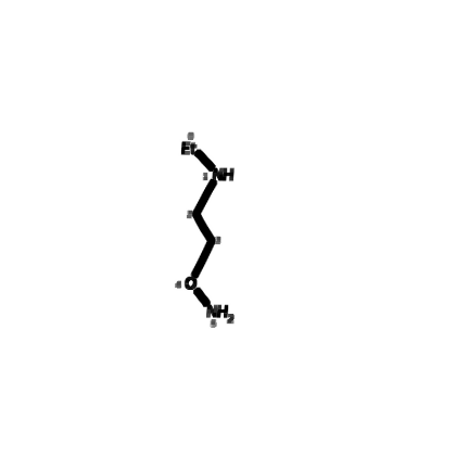 CCNCCON